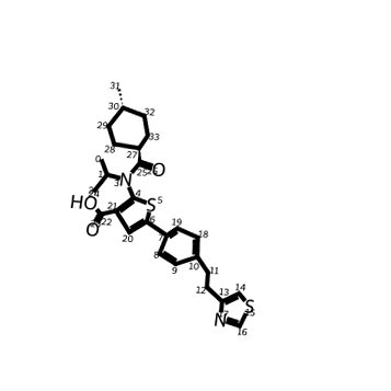 CC(C)N(c1sc(-c2ccc(CCc3cscn3)cc2)cc1C(=O)O)C(=O)[C@H]1CC[C@H](C)CC1